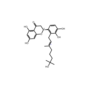 C/C(=C\Cc1c([C@@H]2CC(=O)c3c(O)cc(O)cc3O2)ccc(O)c1O)CCCC(C)(C)O